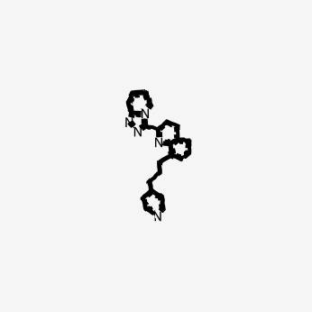 c1cc(CCCc2ccncc2)c2nc(-c3nnc4ccccn34)ccc2c1